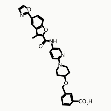 Cc1c(C(=O)Nc2ccc(N3CCC(OCc4cccc(C(=O)O)c4)CC3)nc2)oc2ccc(-c3ncco3)cc12